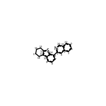 c1ccc2cc(-c3cccc4c5c(sc34)CCCC5)ncc2c1